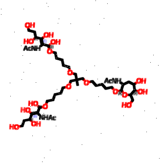 CC(=O)N/C(=C(/O)[C@@H](O)CCO)[C@@H](O)OCCCCCOCC(C)(COCCCCCO[C@@H]1OC(CO)[C@H](O)C(O)CC1NC(C)=O)COCCCCCO[C@H](O)/C(NC(C)=O)=C(\O)[C@@H](O)CCO